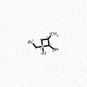 CCS1(CC(C)C)CC(C)C1C(C)C